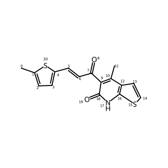 Cc1ccc(C=CC(=O)c2c(C)c3ccsc3[nH]c2=O)s1